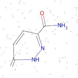 C=C1C=CC(C(N)=O)=NN1